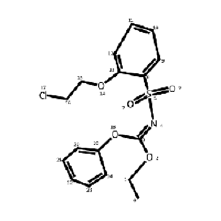 CCOC(=NS(=O)(=O)c1ccccc1OCCCl)Oc1ccccc1